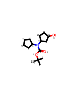 CCC(C)(C)OC(=O)N(C1CCCC1)C1CCC(O)C1